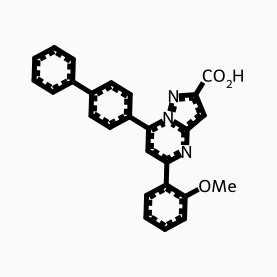 COc1ccccc1-c1cc(-c2ccc(-c3ccccc3)cc2)n2nc(C(=O)O)cc2n1